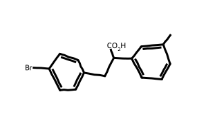 Cc1cccc(C(Cc2ccc(Br)cc2)C(=O)O)c1